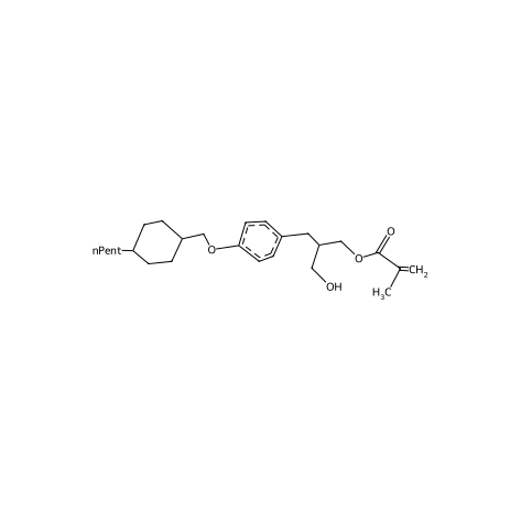 C=C(C)C(=O)OCC(CO)Cc1ccc(OCC2CCC(CCCCC)CC2)cc1